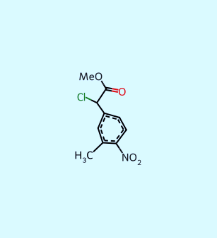 COC(=O)C(Cl)c1ccc([N+](=O)[O-])c(C)c1